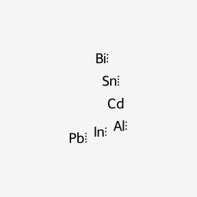 [Al].[Bi].[Cd].[In].[Pb].[Sn]